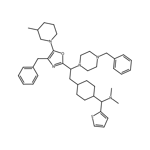 CC1CCCN(c2oc(C(CC3CCC(C(c4cccs4)N(C)C)CC3)N3CCN(Cc4ccccc4)CC3)nc2Cc2ccccc2)C1